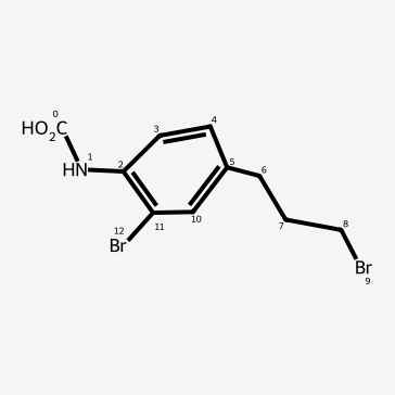 O=C(O)Nc1ccc(CCCBr)cc1Br